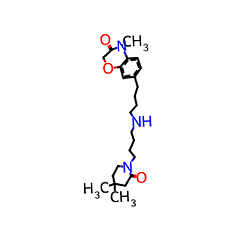 CN1C(=O)COc2cc(CCCCNCCCCN3CCC(C)(C)CC3=O)ccc21